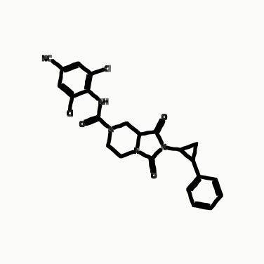 N#Cc1cc(Cl)c(NC(=O)N2CCN3C(=O)N(C4CC4c4ccccc4)C(=O)C3C2)c(Cl)c1